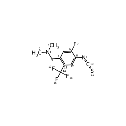 CN(C)Cc1cc(F)c(N=C=S)cc1C(F)(F)F